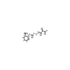 CNC(=O)NSCCNCc1ncccc1N